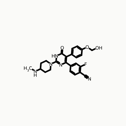 CNC1CCN(c2nc(-c3ccc(C#N)c(F)c3)c(-c3ccc(OCO)cc3)c(=O)[nH]2)CC1